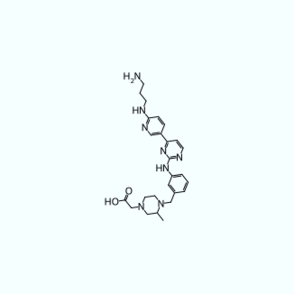 CC1CN(CC(=O)O)CCN1Cc1cccc(Nc2nccc(-c3ccc(NCCCN)nc3)n2)c1